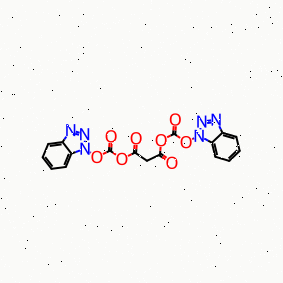 O=C(CC(=O)OC(=O)On1nnc2ccccc21)OC(=O)On1nnc2ccccc21